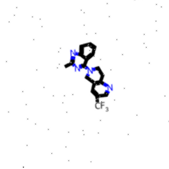 Cc1nc(N2CCc3ncc(C(F)(F)F)cc3C2)c2ccccc2n1